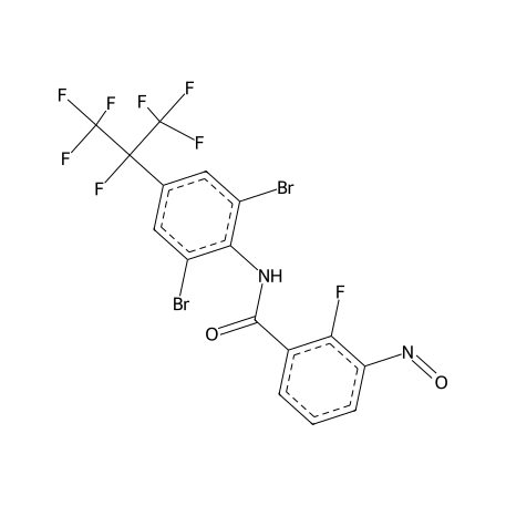 O=Nc1cccc(C(=O)Nc2c(Br)cc(C(F)(C(F)(F)F)C(F)(F)F)cc2Br)c1F